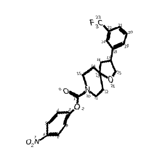 O=C(Oc1ccc([N+](=O)[O-])cc1)N1CCC2(CC1)CC(c1cccc(C(F)(F)F)c1)CO2